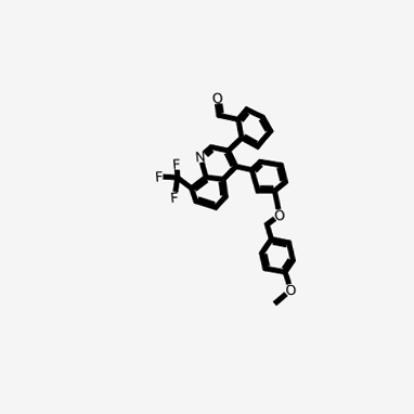 COc1ccc(COc2cccc(-c3c(-c4ccccc4C=O)cnc4c(C(F)(F)F)cccc34)c2)cc1